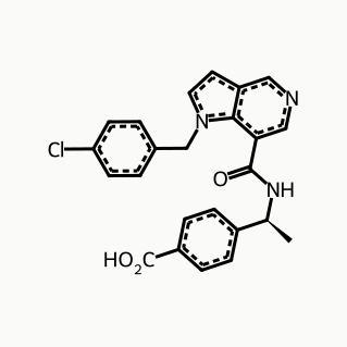 C[C@H](NC(=O)c1cncc2ccn(Cc3ccc(Cl)cc3)c12)c1ccc(C(=O)O)cc1